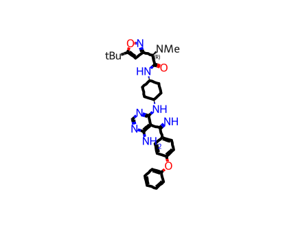 CN[C@@H](C(=O)N[C@H]1CC[C@@H](Nc2ncnc(N)c2C(=N)c2ccc(Oc3ccccc3)cc2)CC1)c1cc(C(C)(C)C)on1